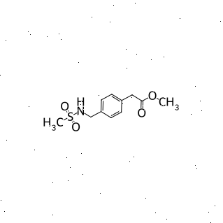 COC(=O)Cc1ccc(CNS(C)(=O)=O)cc1